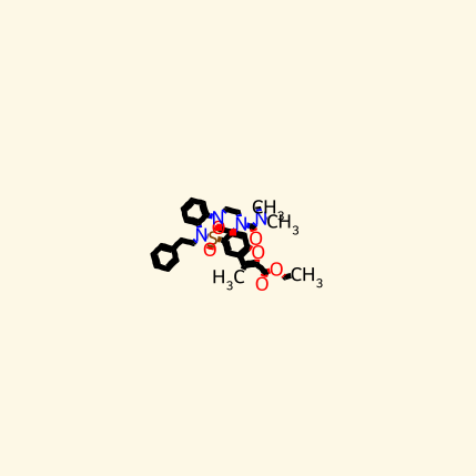 CCOC(=O)c1oc2ccc(S(=O)(=O)N(CCc3ccccc3)c3ccccc3N3CCN(C(=O)N(C)C)CC3)cc2c1C